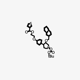 CC(C)(C)OC(=O)ON1CCC(c2ccc(OCCOC(=O)c3ccsc3)cc2)C(OCc2ccc3ccccc3c2)C1